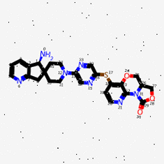 N[C@@H]1c2cccnc2CC12CCN(c1cnc(Sc3ccnc4c3OCC3COC(=O)N43)cn1)CC2